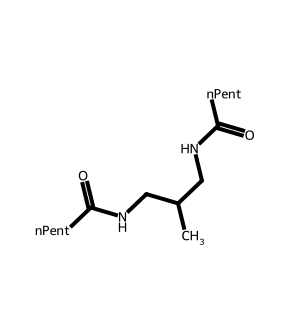 CCCCCC(=O)NCC(C)CNC(=O)CCCCC